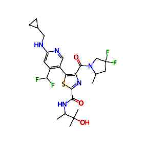 CC1CC(F)(F)CN1C(=O)c1nc(C(=O)NC(C)C(C)(C)O)sc1-c1cnc(NCC2CC2)cc1C(F)F